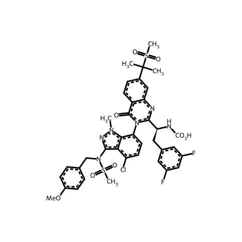 COc1ccc(CN(c2nn(C)c3c(-n4c([C@H](Cc5cc(F)cc(F)c5)NC(=O)O)nc5cc(C(C)(C)S(C)(=O)=O)ccc5c4=O)ccc(Cl)c23)S(C)(=O)=O)cc1